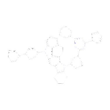 C1=Cc2c(n(-c3cccc(-c4nc(-c5ccccc5)nc(-c5ccccc5)n4)c3)c3c4c5c6c(cccc6n(-c6ccc(-c7ccccc7)cc6)c5cc23)CC4)CC1